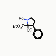 CCOC(=O)C1(C(=O)OCC)C(c2ccccc2)CCN1C(C)=O